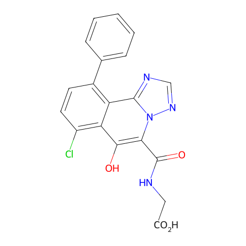 O=C(O)CNC(=O)c1c(O)c2c(Cl)ccc(-c3ccccc3)c2c2ncnn12